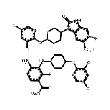 COC(=O)c1ccc([N+](=O)[O-])c(NC2CCC(Oc3ncc(Cl)cc3Cl)CC2)c1F.O=C(O)c1cc2c(cc1F)[nH]c(=O)n2C1CCC(Oc2ncc(Cl)cc2Cl)CC1